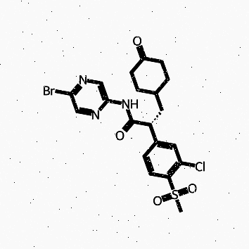 CS(=O)(=O)c1ccc([C@@H](CC2CCC(=O)CC2)C(=O)Nc2cnc(Br)cn2)cc1Cl